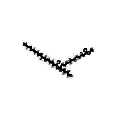 CCCCCCCCC=CCCCCCCCC(=O)OC(CCCCCC)CCCCCCCCCCC(=O)OCC